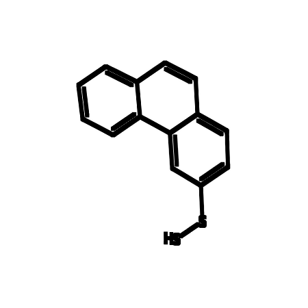 SSc1ccc2ccc3ccccc3c2c1